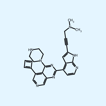 CN(C)CC#Cc1cc2c(-c3nc(N4CCNCC4)c4c(C5=CC=C5)cncc4n3)ccnc2[nH]1